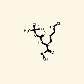 CNC(=O)[C@H](CCCNCl)NC(=O)OC(C)(C)C